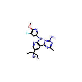 CCC(N)(CC)c1cnc(Nc2cnc(OC)c(F)c2)c(-c2nc(C)nc(N)n2)c1